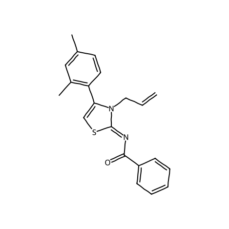 C=CCn1c(-c2ccc(C)cc2C)cs/c1=N\C(=O)c1ccccc1